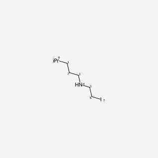 CC(C)CCCNCCI